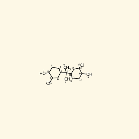 CC(C)(C1CCC(O)C(Cl)C1)C1CCC(O)C(Cl)C1